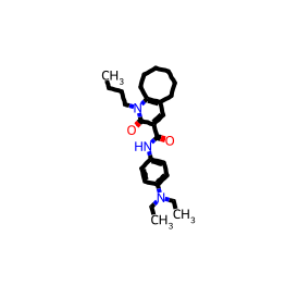 CCCCn1c2c(cc(C(=O)Nc3ccc(N(CC)CC)cc3)c1=O)CCCCCC2